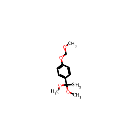 COCOc1ccc(C([SiH3])(OC)OC)cc1